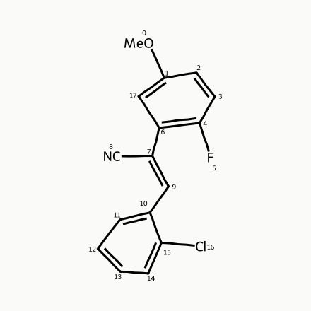 COc1ccc(F)c(/C(C#N)=C/c2ccccc2Cl)c1